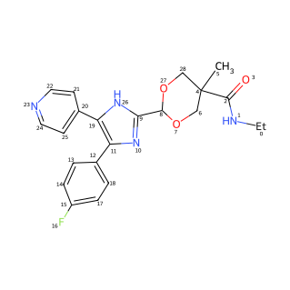 CCNC(=O)C1(C)COC(c2nc(-c3ccc(F)cc3)c(-c3ccncc3)[nH]2)OC1